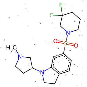 CN1CCC(N2CCc3ccc(S(=O)(=O)N4CCCC(F)(F)C4)cc32)C1